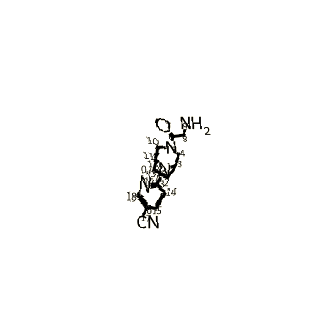 C[C@H]1CC2CN(C(=O)CN)CC1N2c1ccc(C#N)cn1